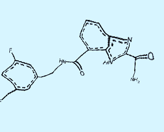 NC(=O)c1nc2cccc(C(=O)NCc3cc(F)cc(F)c3)c2[nH]1